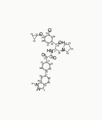 Cn1ncc2ccc(-c3ccc(C(=O)C(=O)NC(CN4CCCC4)C(O)c4ccc(OC5CC5)c(Cl)c4)cc3)cc21